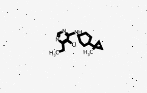 CCc1ncnc(NC2CCC(C3(C)CC3)CC2)c1Cl